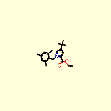 CCOC(=O)c1cc(C(C)(C)C)cn1Cc1c(C)cc(C)cc1C